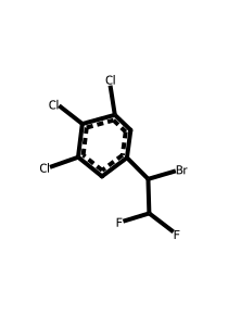 FC(F)C(Br)c1cc(Cl)c(Cl)c(Cl)c1